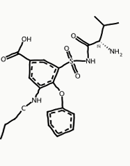 CCCCNc1cc(C(=O)O)cc(S(=O)(=O)NC(=O)[C@@H](N)C(C)C)c1Oc1ccccc1